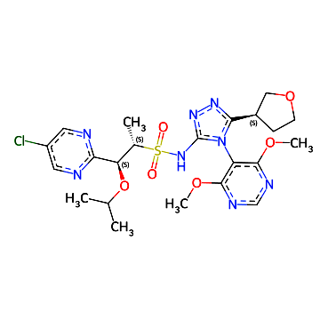 COc1ncnc(OC)c1-n1c(NS(=O)(=O)[C@@H](C)[C@@H](OC(C)C)c2ncc(Cl)cn2)nnc1[C@@H]1CCOC1